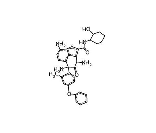 Cc1cc(Oc2ccccc2)ccc1C1(N)C(=O)C(N)c2c(C(=O)NC3CCCCC3O)sc3c(N)ccc1c23